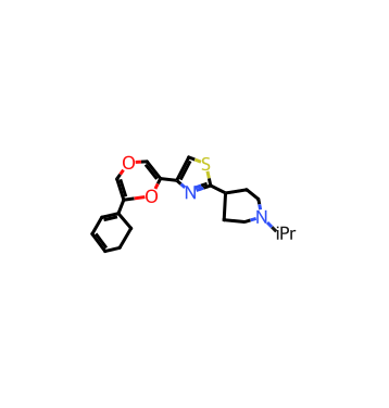 CC(C)N1CCC(c2nc(C3=COC=C(C4=CC=CCC4)O3)cs2)CC1